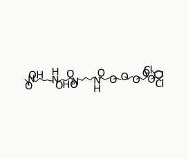 CC(=O)N(O)CCCCCNC(=O)CCC(=O)N(O)CCCCCNC(=O)CCOCCOCCOCCC(=O)Oc1c(Cl)cccc1Cl